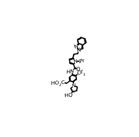 CC(C)n1c(CCn2cc3ccccc3n2)ccc1C(=O)Nc1cc(CC(=O)O)c(N2CC[C@@H](O)C2)cc1C(F)(F)F